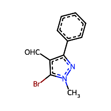 Cn1nc(-c2ccccc2)c(C=O)c1Br